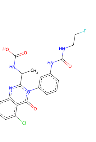 CC(NC(=O)O)c1nc2cccc(Cl)c2c(=O)n1-c1cccc(NC(=O)NCCF)c1